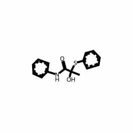 CC(O)(Sc1ccccc1)C(=O)Nc1ccccc1